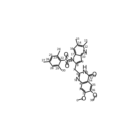 COc1cc2nc(Cc3cc4nc(C)c(C)cc4n3S(=O)(=O)c3c(C)cc(C)cc3C)[nH]c(=O)c2cc1OC